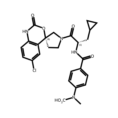 CN(C(=O)O)c1ccc(C(=O)N[C@@H](CC2CC2)C(=O)N2CC[C@@]3(C2)OC(=O)Nc2ccc(Cl)cc23)cc1